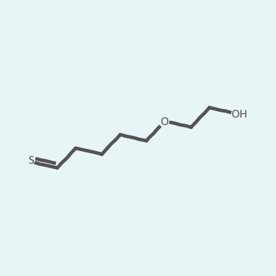 OCCOCCCCC=S